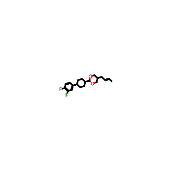 C/C=C/CC1COC(C2CCC(c3ccc(F)c(F)c3)CC2)OC1